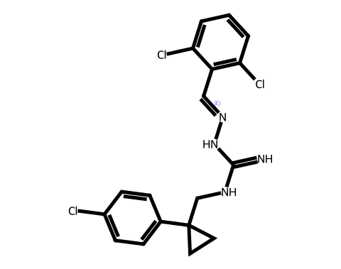 N=C(NCC1(c2ccc(Cl)cc2)CC1)N/N=C/c1c(Cl)cccc1Cl